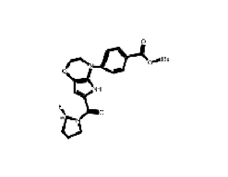 CC(C)(C)OC(=O)c1ccc(N2CCOc3cc(C(=O)N4CCC[C@H]4F)[nH]c32)cc1